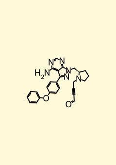 Nc1ncnc2c1c(-c1ccc(Oc3ccccc3)cc1)nn2C[C@H]1CCCN1CC#CC=O